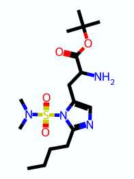 CCCCc1ncc(CC(N)C(=O)OC(C)(C)C)n1S(=O)(=O)N(C)C